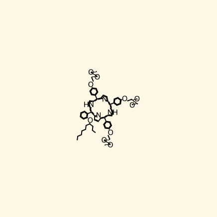 CCCCCCC(CCC)Oc1ccccc1-c1c2nc(c(-c3ccc(OCCS(C)(=O)=O)cc3)c3ccc([nH]3)c(-c3ccc(OCCS(C)(=O)=O)cc3)c3nc(c(-c4ccc(OCCS(C)(=O)=O)cc4)c4ccc1[nH]4)C=C3)C=C2